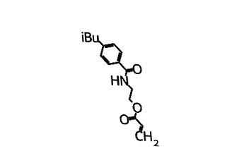 C=CC(=O)OCCNC(=O)c1ccc(C(C)CC)cc1